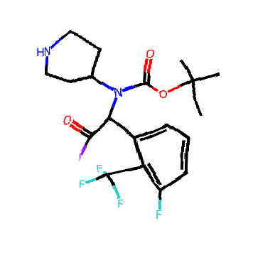 CC(C)(C)OC(=O)N(C1CCNCC1)C(C(=O)I)c1cccc(F)c1C(F)(F)F